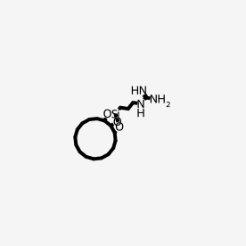 N=C(N)NCCC[Si]12OC3CCCCCCCCCCCCCC(O1)C3O2